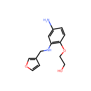 Nc1ccc(OCCO)c(NCc2ccoc2)c1